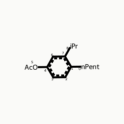 CCCCCc1ccc(OC(C)=O)cc1C(C)C